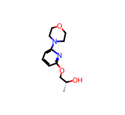 C[C@@H](O)COc1cccc(N2CCOCC2)n1